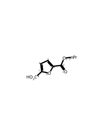 CCCOC(=O)c1ccc(C(=O)O)o1